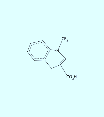 O=C(O)C1=CN(C(F)(F)F)c2ccccc2C1